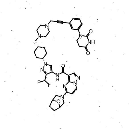 O=C1CCN(c2cccc(C#CCN3CCN(C[C@H]4CC[C@@H](n5cc(NC(=O)c6cnn7ccc(N8CC9CCC(C8)O9)nc67)c(C(F)F)n5)CC4)CC3)c2)C(=O)N1